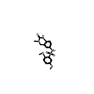 COc1ccc(OC)c(S(=O)(=O)Nc2ccc3c(c2)CN(C)C(=O)N3)c1